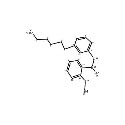 CCCCCCCCCCCCCCCc1cccc(ON(C(C)=O)c2ccccc2SS)c1